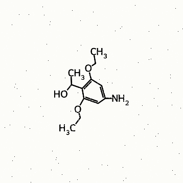 CCOc1cc(N)cc(OCC)c1C(C)O